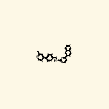 Cc1cc(-c2ccc(CNc3nccc(-c4ccc5ccccc5c4)n3)cc2)ccn1